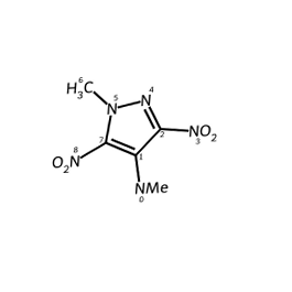 CNc1c([N+](=O)[O-])nn(C)c1[N+](=O)[O-]